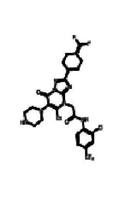 CCc1c(N2CCNCC2)c(=O)n2nc(C3=CCC(=C(F)F)CC3)nc2n1CC(=O)Nc1ccc(C(F)(F)F)cc1Cl